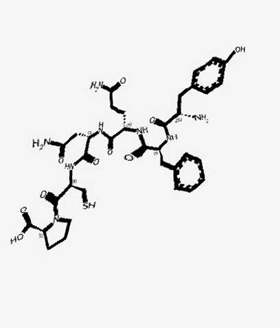 NC(=O)CC[C@H](NC(=O)[C@H](Cc1ccccc1)NC(=O)[C@@H](N)Cc1ccc(O)cc1)C(=O)N[C@@H](CC(N)=O)C(=O)N[C@@H](CS)C(=O)N1CCC[C@H]1C(=O)O